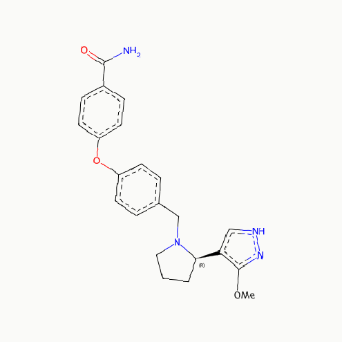 COc1n[nH]cc1[C@H]1CCCN1Cc1ccc(Oc2ccc(C(N)=O)cc2)cc1